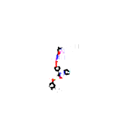 CSc1ccc(C(O)CS[C@H]2C(=O)N(c3ccc(F)cc3)[C@@H]2c2ccc(OCC(=O)NCC(=O)CC(C)[C@@H](N)C(=O)O)cc2)cc1